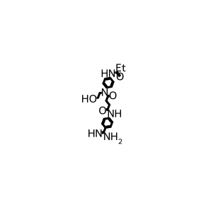 CCC(=O)Nc1ccc(N(CCO)C(=O)CCC(=O)Nc2ccc(C(=N)N)cc2)cc1